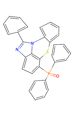 O=P(c1ccccc1)(c1ccccc1)c1ccc2nc(-c3ccccc3)n3c2c1Sc1ccccc1-3